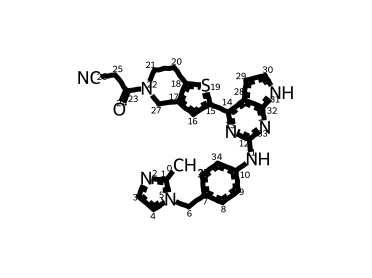 Cc1nccn1Cc1ccc(Nc2nc(-c3cc4c(s3)CCN(C(=O)CC#N)C4)c3cc[nH]c3n2)cc1